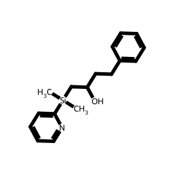 C[Si](C)(CC(O)CCc1ccccc1)c1ccccn1